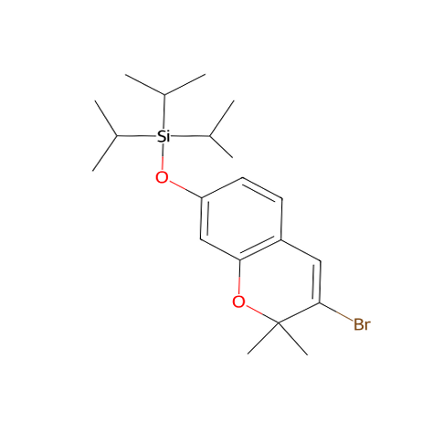 CC(C)[Si](Oc1ccc2c(c1)OC(C)(C)C(Br)=C2)(C(C)C)C(C)C